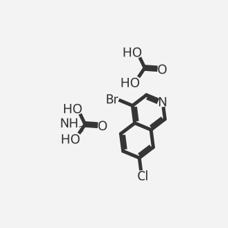 Clc1ccc2c(Br)cncc2c1.N.O=C(O)O.O=C(O)O